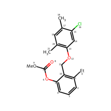 CCc1cccc(OC(=O)OC)c1COc1cc(Cl)c(C)cc1C